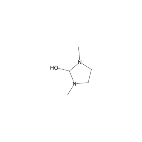 CN1CCN(I)C1O